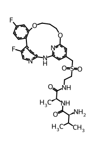 CC(C)[C@H](N)C(=O)N[C@@H](C)C(=O)NCCS(=O)(=O)Cc1cc2nc(c1)OCCCOc1cc(F)ccc1-c1cc(ncc1F)N2